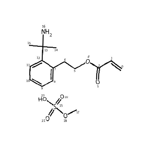 C=CC(=O)OCCc1ccccc1C(C)(C)N.COS(=O)(=O)O